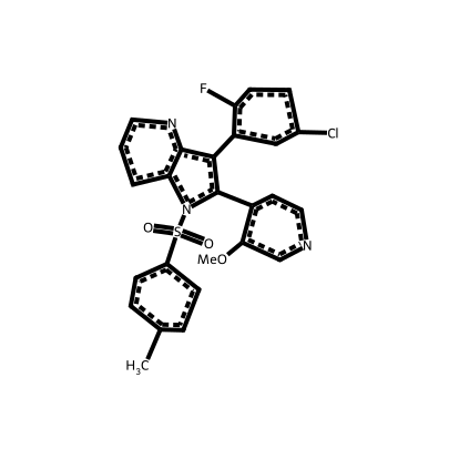 COc1cnccc1-c1c(-c2cc(Cl)ccc2F)c2ncccc2n1S(=O)(=O)c1ccc(C)cc1